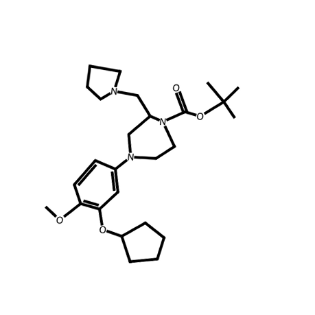 COc1ccc(N2CCN(C(=O)OC(C)(C)C)C(CN3CCCC3)C2)cc1OC1CCCC1